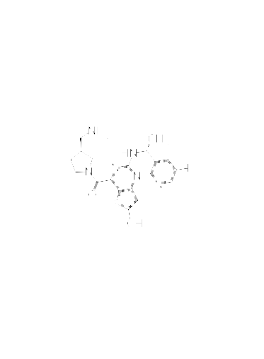 Cc1cc2nc(N[C@@H](C)c3cncc(F)c3)nc(C(=O)N3CC[C@@H](CN)C3)c2s1